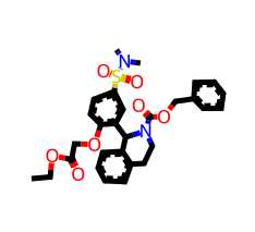 CCOC(=O)COc1ccc(S(=O)(=O)N(C)C)cc1C1c2ccccc2CCN1C(=O)OCc1ccccc1